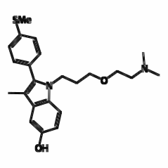 CSc1ccc(-c2c(C)c3cc(O)ccc3n2CCCOCCN(C)C)cc1